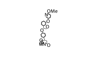 COc1ccc(Oc2cccc3c2OC[C@H]3Oc2ccc(C3CC(=O)NS3(=O)=O)cc2)cn1